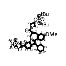 COc1ccc2c(c1)C=C(C(=O)N1CC(OP(=O)(OC(C)(C)C)OC(C)(C)C)C1)Cn1c-2c(C2CCCCC2)c2ccc(C(=O)NS(=O)(=O)N(C)C)cc21